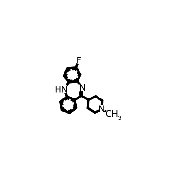 CN1CCC(C2=Nc3cc(F)ccc3Nc3ccccc32)CC1